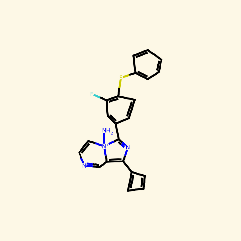 N[N+]12C=CN=CC1=C(C1=CC=C1)N=C2c1ccc(Sc2ccccc2)c(F)c1